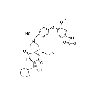 CCCCN1C(=O)[C@@H]([C@H](O)C2CCCCC2)NC(=O)C12CCN(Cc1ccc(Oc3ccc(NS(C)(=O)=O)cc3OC)cc1)CC2.Cl